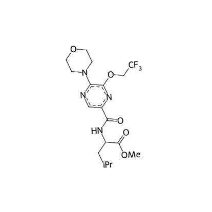 COC(=O)C(CC(C)C)NC(=O)c1cnc(N2CCOCC2)c(OCC(F)(F)F)n1